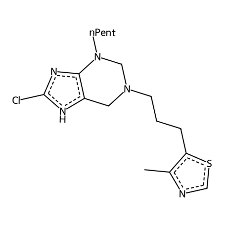 CCCCCN1CN(CCCc2scnc2C)Cc2[nH]c(Cl)nc21